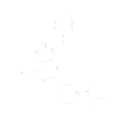 CCC(CC)C(=O)N1CCCC(c2nc(O)c3nnn(Cc4cc(C)ccc4C)c3n2)C1